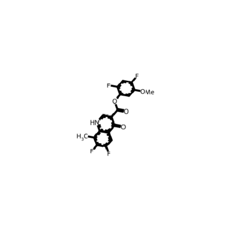 COc1cc(OC(=O)c2c[nH]c3c(C)c(F)c(F)cc3c2=O)c(F)cc1F